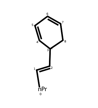 CCC/C=C/[C]1C=CC=CC1